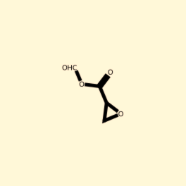 O=COC(=O)C1CO1